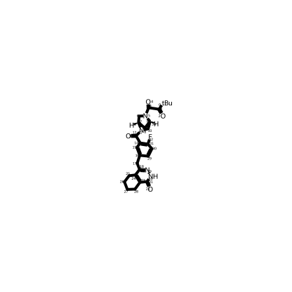 CC(C)(C)C(=O)C(=O)N1C[C@@H]2C[C@H]1CN2C(=O)c1cc(Cc2n[nH]c(=O)c3c2CCCC3)ccc1F